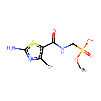 CCC(C)OP(=O)(O)CNC(=O)c1sc(N)nc1C